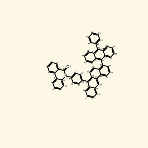 O=c1c2ccccc2c2ccccc2n1-c1ccc(-c2c3ccccc3cc3c2ccc2c(-c4c5ccccc5c(-c5ccccc5)c5ccccc45)cccc23)cc1